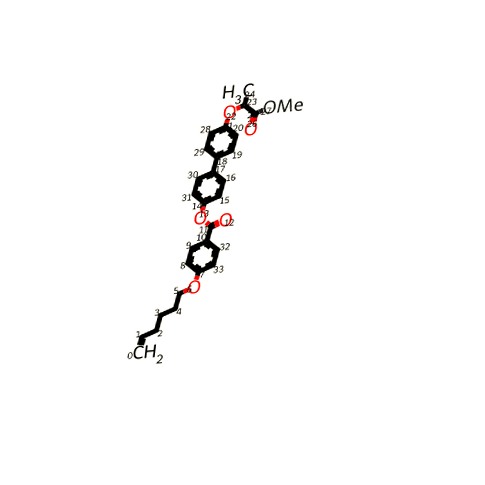 C=CCCCCOc1ccc(C(=O)Oc2ccc(-c3ccc(OC(C)C(=O)OC)cc3)cc2)cc1